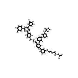 CCC(C)(C)Oc1cccc(-c2ccc3c(c2)c2cc(-c4cccc(OCCCCCCC(C)C)c4)ccc2n3CCCc2ccc(-c3nc(-c4cccc(C)c4)nc(-c4cccc(C)c4)n3)cc2)c1